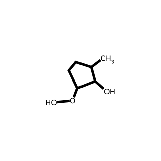 CC1CCC(OO)C1O